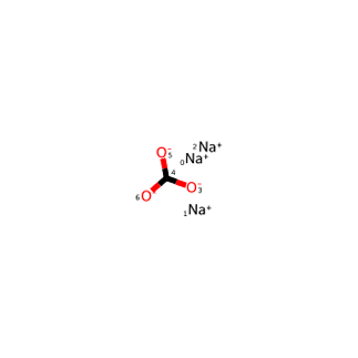 [Na+].[Na+].[Na+].[O-]C([O-])[O-]